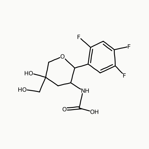 O=C(O)NC1CC(O)(CO)COC1c1cc(F)c(F)cc1F